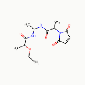 CCOC(C)C(=O)NC(C)NC(=O)C(C)N1C(=O)C=CC1=O